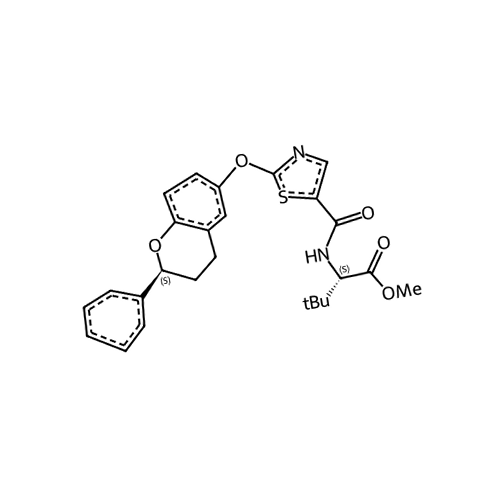 COC(=O)[C@@H](NC(=O)c1cnc(Oc2ccc3c(c2)CC[C@@H](c2ccccc2)O3)s1)C(C)(C)C